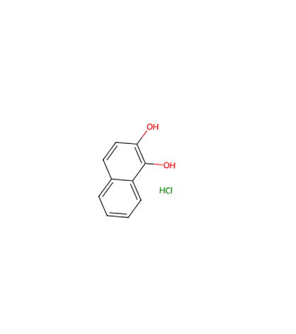 Cl.Oc1ccc2ccccc2c1O